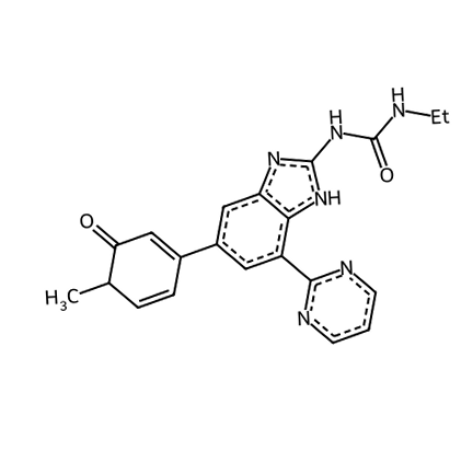 CCNC(=O)Nc1nc2cc(C3=CC(=O)C(C)C=C3)cc(-c3ncccn3)c2[nH]1